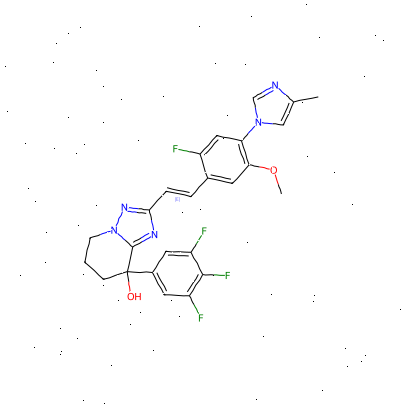 COc1cc(/C=C/c2nc3n(n2)CCCC3(O)c2cc(F)c(F)c(F)c2)c(F)cc1-n1cnc(C)c1